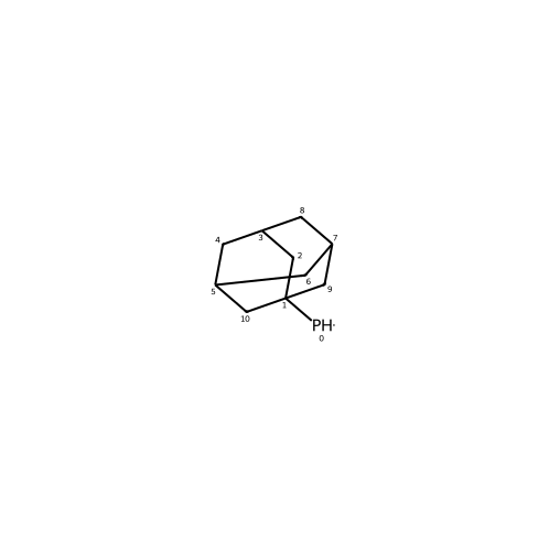 [PH]C12CC3CC(CC(C3)C1)C2